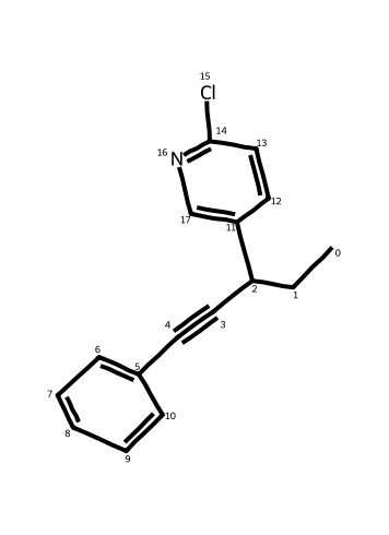 CCC(C#Cc1ccccc1)c1ccc(Cl)nc1